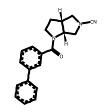 N#CN1C[C@H]2CCN(C(=O)c3cccc(-c4ccccc4)c3)[C@H]2C1